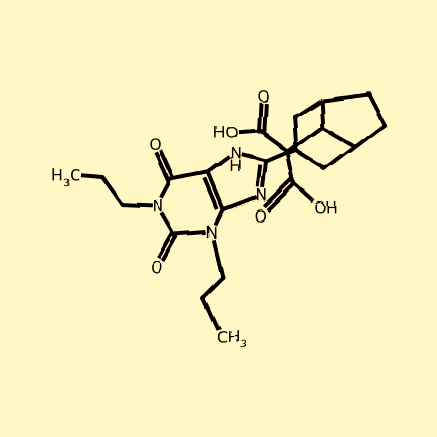 CCCn1c(=O)c2[nH]c(C3CC4CCC(C3)C4C(C(=O)O)C(=O)O)nc2n(CCC)c1=O